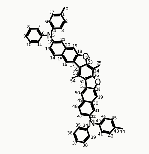 Cc1ccc(N(c2ccccc2)c2ccc3cc4c(cc3c2)oc2c(C)c3oc5cc6cc(N(c7ccccc7)c7ccc(C)cc7)ccc6cc5c3c(C)c24)cc1